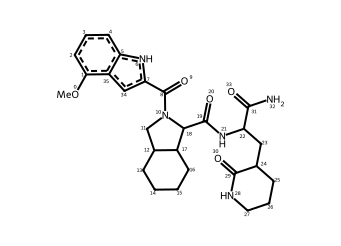 COc1cccc2[nH]c(C(=O)N3CC4CCCCC4C3C(=O)NC(CC3CCCNC3=O)C(N)=O)cc12